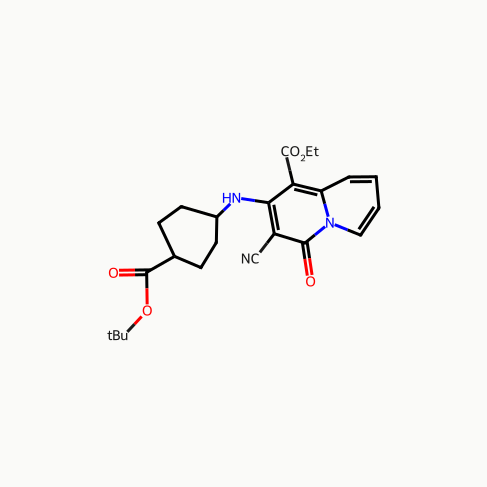 CCOC(=O)c1c(NC2CCC(C(=O)OC(C)(C)C)CC2)c(C#N)c(=O)n2ccccc12